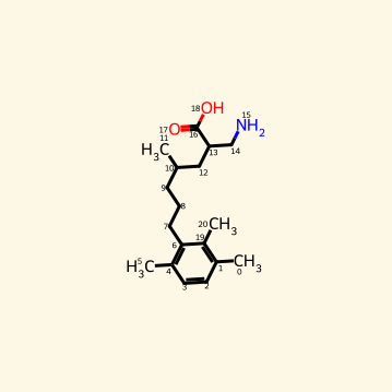 Cc1ccc(C)c(CCCC(C)CC(CN)C(=O)O)c1C